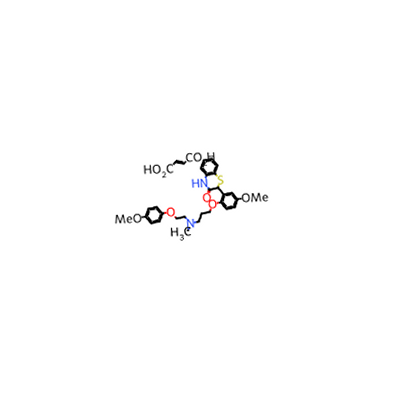 COc1ccc(OCCN(C)CCCOc2ccc(OC)cc2C2Sc3ccccc3NC2=O)cc1.O=C(O)C=CC(=O)O